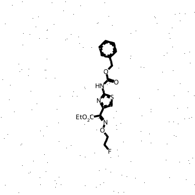 CCOC(=O)/C(=N\OCCF)c1csc(NC(=O)OCc2ccccc2)n1